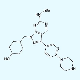 CCCCNc1ncc2c(-c3ccc(N4CCNCC4)nc3)nn(CC3CCC(O)CC3)c2n1